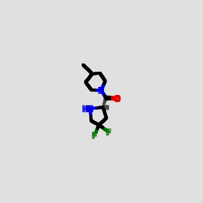 CC1CCN(C(=O)[C@@H]2CC(F)(F)CN2)CC1